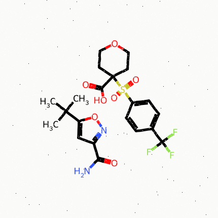 CC(C)(C)c1cc(C(N)=O)no1.O=C(O)C1(S(=O)(=O)c2ccc(C(F)(F)F)cc2)CCOCC1